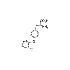 N[C@@H](Cc1ccc(Oc2ncccc2Cl)cc1)C(=O)O